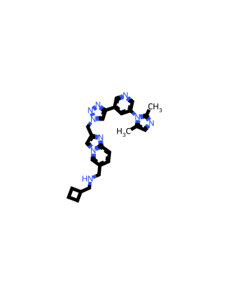 Cc1cnc(C)n1-c1cncc(-c2cn(Cc3cn4cc(CNCC5CCC5)ccc4n3)nn2)c1